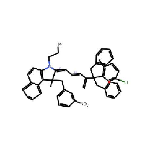 C=C(/C=C/C=C1/N(CCC(C)C)c2ccc3ccccc3c2C1(C)Cc1cccc([N+](=O)[O-])c1)C(Cc1ccccc1)(Cc1ccccc1)c1cc(Cl)ccc1C